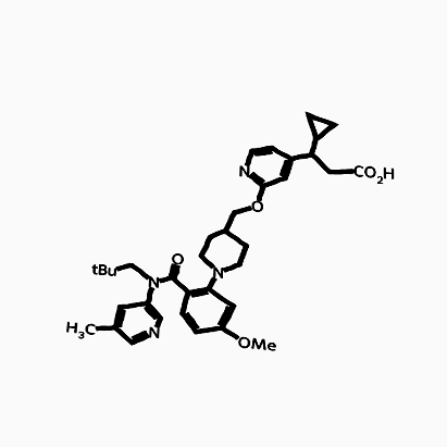 COc1ccc(C(=O)N(CC(C)(C)C)c2cncc(C)c2)c(N2CCC(COc3cc(C(CC(=O)O)C4CC4)ccn3)CC2)c1